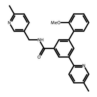 COc1ccccc1-c1cc(C(=O)NCc2ccc(C)nc2)cc(-c2ccc(C)cn2)c1